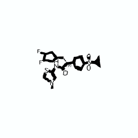 CN1C=C(NC(=O)[C@H](CC2CC(F)C(F)C2)c2ccc(S(=O)(=O)C3CC3)cc2)SC1